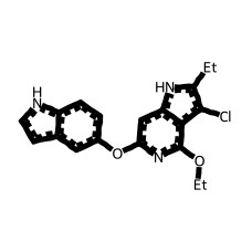 CCOc1nc(Oc2ccc3[nH]ccc3c2)cc2[nH]c(CC)c(Cl)c12